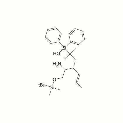 C/C=C/[C@@H](CC(C)(C)[Si](O)(c1ccccc1)c1ccccc1)[C@@H](N)CO[Si](C)(C)C(C)(C)C